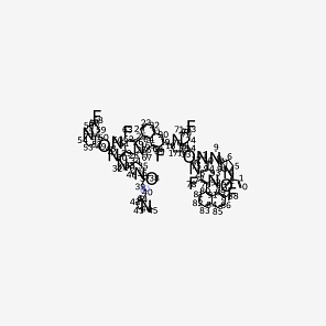 C=CC(=O)N1CC[C@@H](N(C)c2nc(OC[C@@]34CCC(c5cc6cccc(-c7ncc8c(N(C)[C@@H]9CCN(C(=O)/C=C/[C@H]%10CCN%10C)C9)nc(OCC9%10CCCN9C[C@H](F)C%10)nc8c7F)c6c(CC)c5F)N3C[C@H](F)C4)nc3c(F)c(-c4cccc5ccc(F)c(C)c45)ncc23)C1